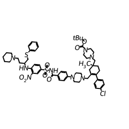 CC(C)(C)OC(=O)N1CCN(C[C@]2(C)CCC(c3ccc(Cl)cc3)=C(CN3CCN(c4ccc(C(=O)NS(=O)(=O)c5ccc(NC(CCN6CCCCC6)CSc6ccccc6)c([N+](=O)[O-])c5)cc4)CC3)C2)CC1